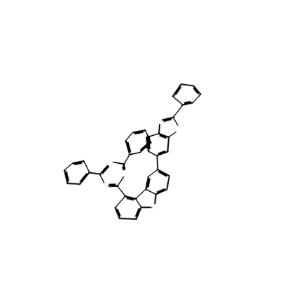 c1ccc(-c2nc(-c3ccccc3)nc(-c3cccc4oc5ccc(-c6ccc7nc(-c8ccccc8)oc7c6)cc5c34)n2)cc1